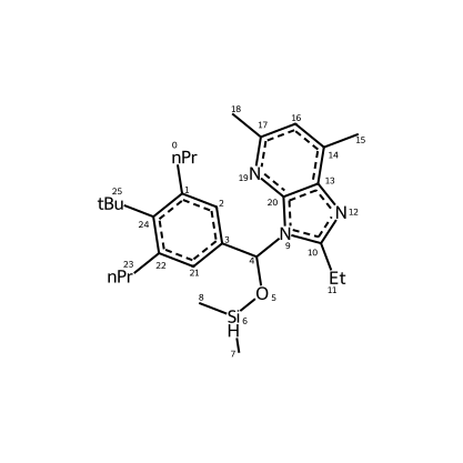 CCCc1cc(C(O[SiH](C)C)n2c(CC)nc3c(C)cc(C)nc32)cc(CCC)c1C(C)(C)C